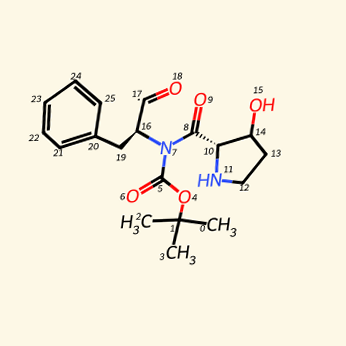 CC(C)(C)OC(=O)N(C(=O)[C@H]1NCCC1O)[C@H]([C]=O)Cc1ccccc1